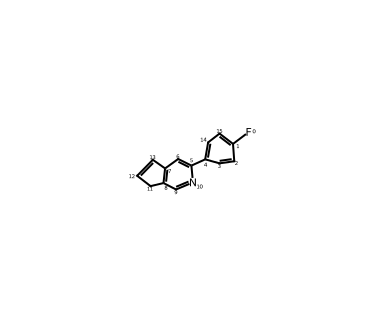 Fc1ccc(-c2cc3c(cn2)CC=C3)cc1